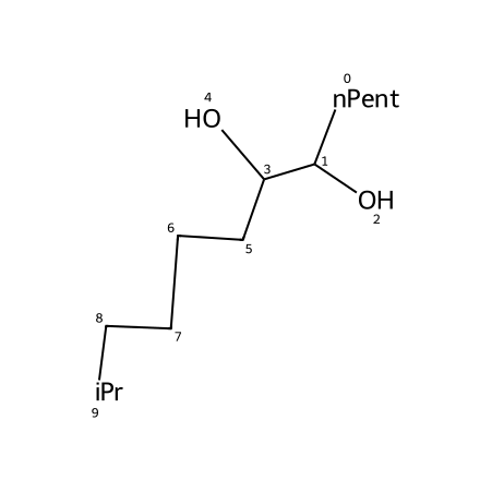 CCCCCC(O)C(O)CCCCC(C)C